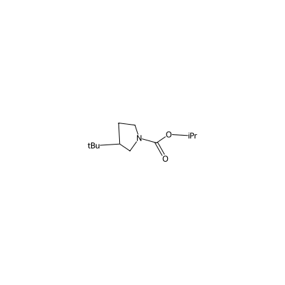 CC(C)OC(=O)N1CCC(C(C)(C)C)C1